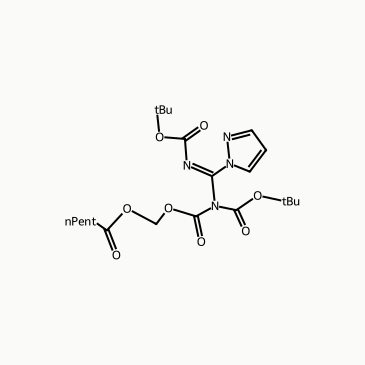 CCCCCC(=O)OCOC(=O)N(C(=O)OC(C)(C)C)C(=NC(=O)OC(C)(C)C)n1cccn1